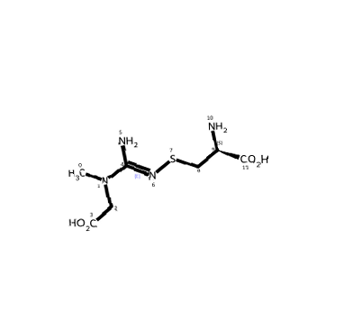 CN(CC(=O)O)/C(N)=N/SC[C@@H](N)C(=O)O